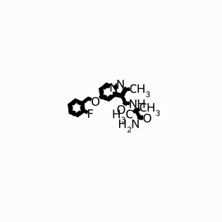 Cc1nn2ccc(OCc3ccccc3F)cc2c1C(=O)NC(C)(C)C(N)=O